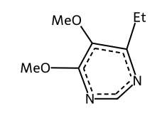 CCc1ncnc(OC)c1OC